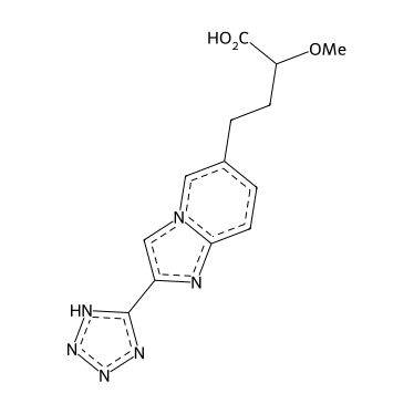 COC(CCc1ccc2nc(-c3nnn[nH]3)cn2c1)C(=O)O